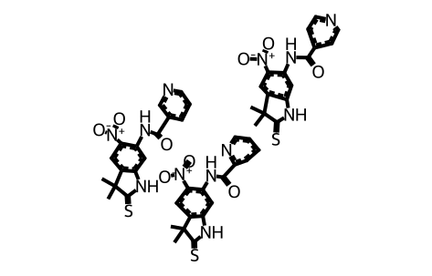 CC1(C)C(=S)Nc2cc(NC(=O)c3ccccn3)c([N+](=O)[O-])cc21.CC1(C)C(=S)Nc2cc(NC(=O)c3cccnc3)c([N+](=O)[O-])cc21.CC1(C)C(=S)Nc2cc(NC(=O)c3ccncc3)c([N+](=O)[O-])cc21